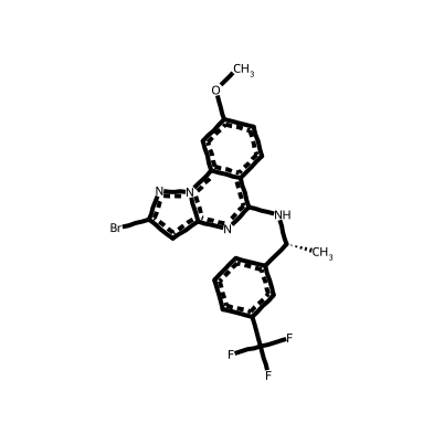 COc1ccc2c(N[C@H](C)c3cccc(C(F)(F)F)c3)nc3cc(Br)nn3c2c1